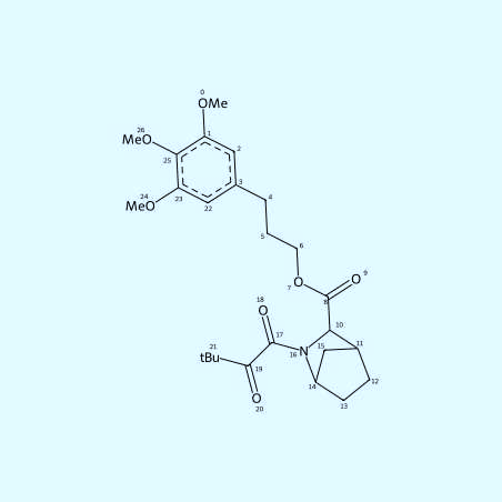 COc1cc(CCCOC(=O)C2C3CCC(C3)N2C(=O)C(=O)C(C)(C)C)cc(OC)c1OC